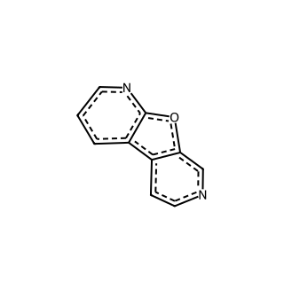 c1cnc2oc3cnccc3c2c1